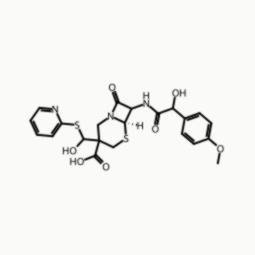 COc1ccc(C(O)C(=O)NC2C(=O)N3CC(C(=O)O)(C(O)Sc4ccccn4)CS[C@H]23)cc1